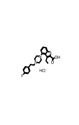 CCc1c(C(=O)O)sc2cccc(N3CCN(CCc4ccc(F)cc4)CC3)c12.Cl